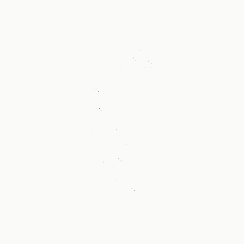 CC(=O)NC[C@H]1CN(c2ccc(-c3ccc(C4=NOC(CC(=O)Cn5ccnc5C)C4)nc3)c(F)c2)C(=O)O1